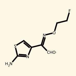 Nc1nc(C([C]=O)=NOCCF)cs1